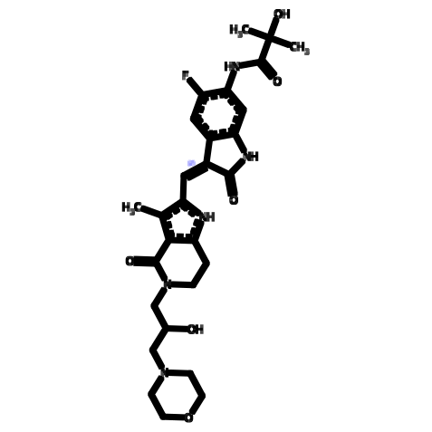 Cc1c(/C=C2\C(=O)Nc3cc(NC(=O)C(C)(C)O)c(F)cc32)[nH]c2c1C(=O)N(CC(O)CN1CCOCC1)CC2